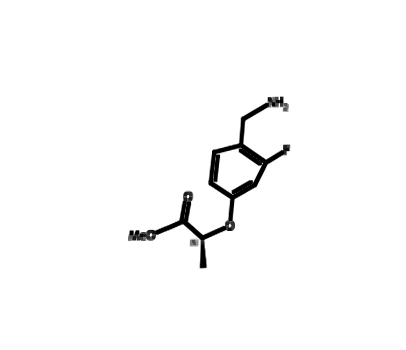 COC(=O)[C@H](C)Oc1ccc(CN)c(F)c1